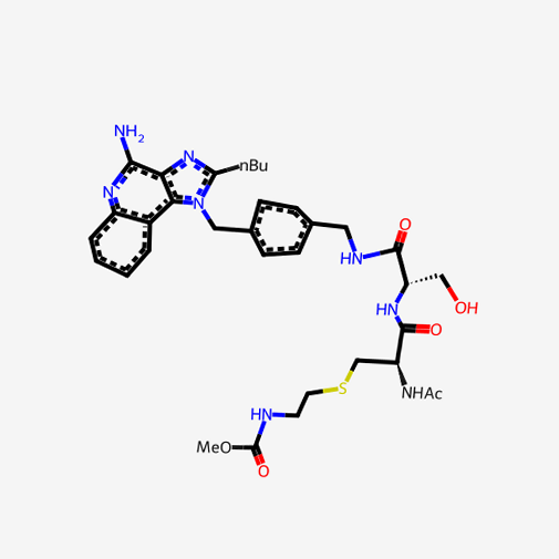 CCCCc1nc2c(N)nc3ccccc3c2n1Cc1ccc(CNC(=O)[C@H](CO)NC(=O)[C@H](CSCCNC(=O)OC)NC(C)=O)cc1